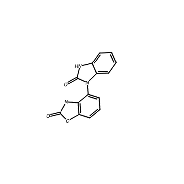 O=C1[N]c2c(cccc2-n2c(=O)[nH]c3ccccc32)O1